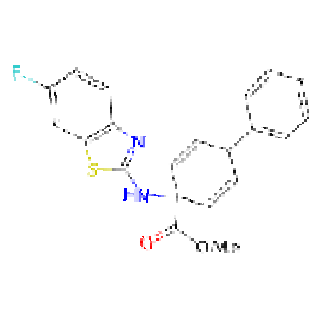 COC(=O)C1(Nc2nc3ccc(F)cc3s2)C=CC(c2ccccc2)C=C1